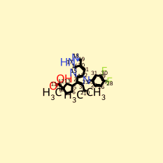 CC(C)c1c(C2CC[C@@](C)(C(=O)O)C2)c2nc3[nH]ncc3cc2n1-c1ccc(F)c(F)c1